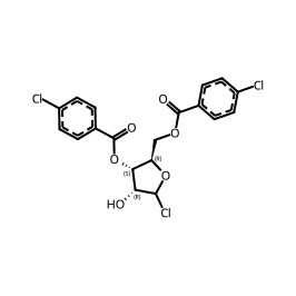 O=C(OC[C@H]1OC(Cl)[C@H](O)[C@@H]1OC(=O)c1ccc(Cl)cc1)c1ccc(Cl)cc1